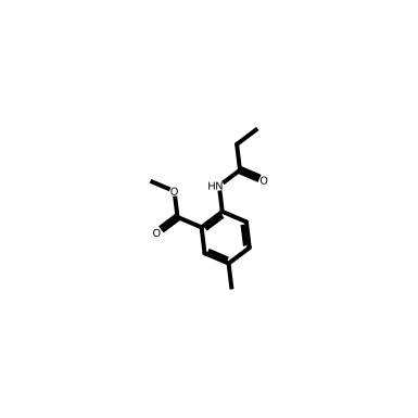 CCC(=O)Nc1ccc(C)cc1C(=O)OC